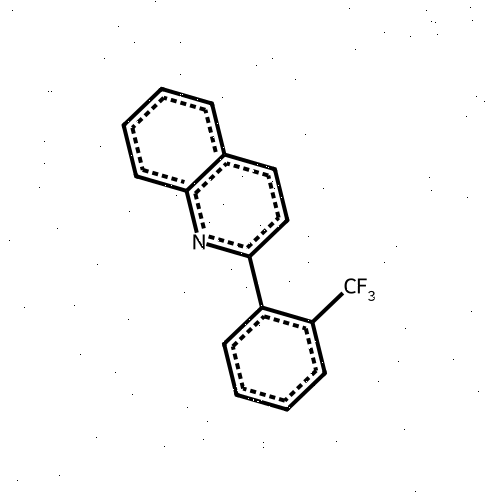 FC(F)(F)c1ccccc1-c1ccc2ccccc2n1